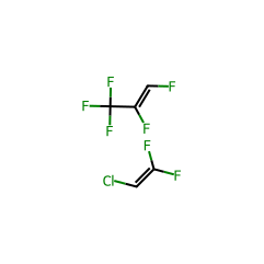 FC(F)=CCl.FC=C(F)C(F)(F)F